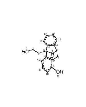 OCCC12NC(Cc3c(O)cccc31)c1ccccc12